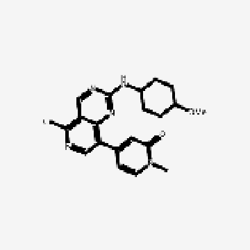 COC1CCC(Nc2ncc3c(Cl)ncc(-c4ccn(C)c(=O)c4)c3n2)CC1